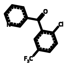 O=C(c1cccnc1)c1cc(C(F)(F)F)ccc1Cl